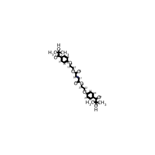 CC(C)(O)C(=O)c1ccc(OCCOC(=O)/C=C/C(=O)OCCOc2ccc(C(=O)C(C)(C)O)cc2)cc1